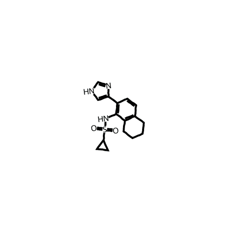 O=S(=O)(Nc1c(-c2c[nH]cn2)ccc2c1CCCC2)C1CC1